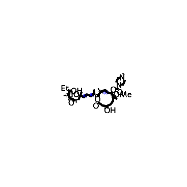 CC[C@H](O)[C@@H](C)[C@H]1O[C@@H]1CC(C)(O)/C=C/C=C(\C)[C@H]1OC(=O)C[C@H](O)CC[C@@](C)(OC)[C@@H](OC(=O)N2CCN(C)CC2)/C=C/[C@@H]1C